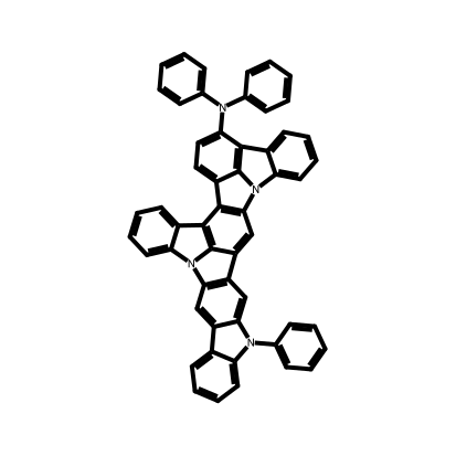 c1ccc(N(c2ccccc2)c2ccc3c4c5c6ccccc6n6c7cc8c9ccccc9n(-c9ccccc9)c8cc7c(cc4n4c7ccccc7c2c34)c56)cc1